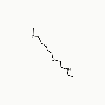 CCNCCOCCOCCOC